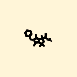 Cc1c2c(c(C)n1Cc1ccccc1)C(C)(C(N)=O)CC2(C)C